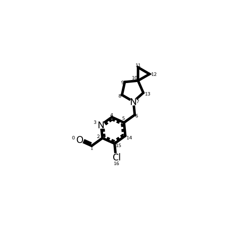 O=Cc1ncc(CN2CCC3(CC3)C2)cc1Cl